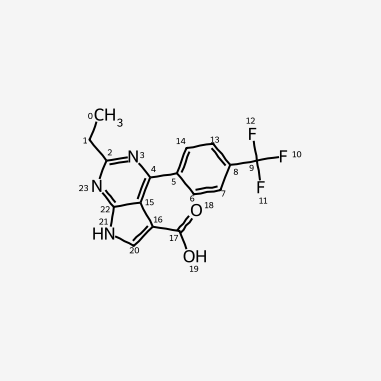 CCc1nc(-c2ccc(C(F)(F)F)cc2)c2c(C(=O)O)c[nH]c2n1